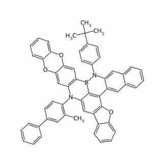 Cc1cc(-c2ccccc2)ccc1N1c2cc3c(cc2B2c4c1cc1c(oc5ccccc51)c4-c1cc4ccccc4cc1N2c1ccc(C(C)(C)C)cc1)Oc1ccccc1O3